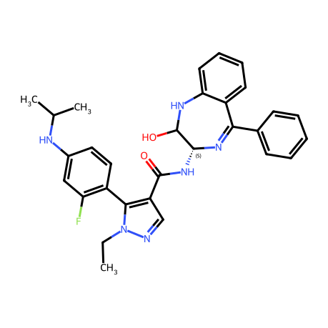 CCn1ncc(C(=O)N[C@H]2N=C(c3ccccc3)c3ccccc3NC2O)c1-c1ccc(NC(C)C)cc1F